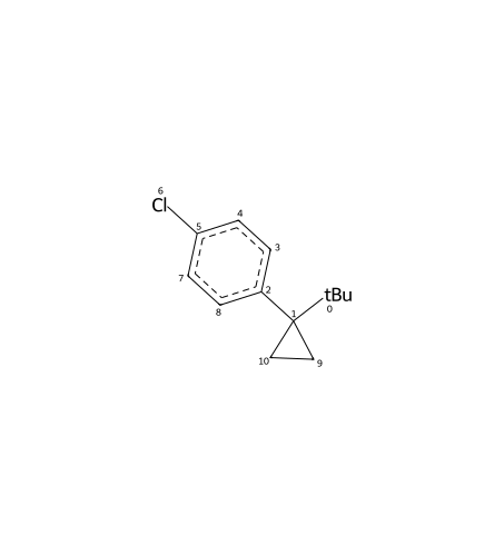 CC(C)(C)C1(c2ccc(Cl)cc2)CC1